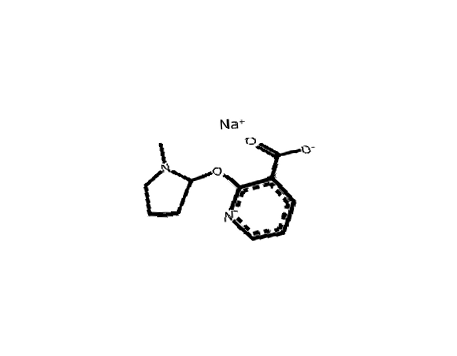 CN1CCCC1Oc1ncccc1C(=O)[O-].[Na+]